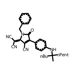 CCCCCC(C)(CCCC)Nc1ccc(C2=C(C#N)C(=C(C#N)C#N)N(Cc3ccccc3)C2=O)cc1